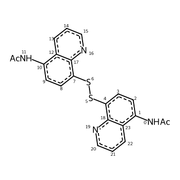 CC(=O)Nc1ccc(SSc2ccc(NC(C)=O)c3cccnc23)c2ncccc12